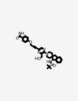 CC(C)(C)[S+]([O-])N[C@@H]1c2ccccc2CC12CCN(c1ncc(C#CCOc3ccc(C(N)=O)cc3)nc1CO)CC2